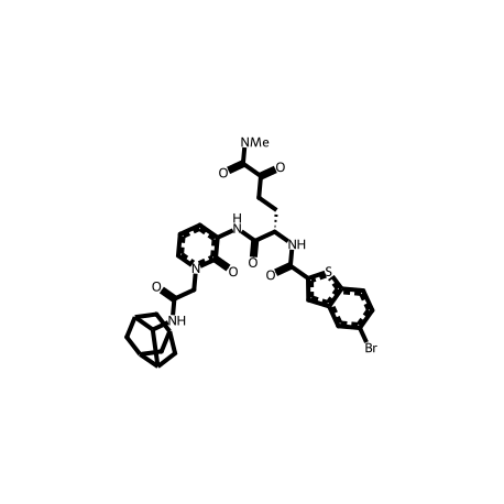 CNC(=O)C(=O)CC[C@H](NC(=O)c1cc2cc(Br)ccc2s1)C(=O)Nc1cccn(CC(=O)NC2C3CC4CC(C3)C2C4)c1=O